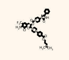 CN(C)CCCOC(=O)c1ccc(N2CCN(C(=O)[C@@H](Cc3cc(Cl)c(N)c(C(F)(F)F)c3)OC(=O)N3CCC(n4nc(-c5ccccc5)[nH]c4=O)CC3)CC2)cc1